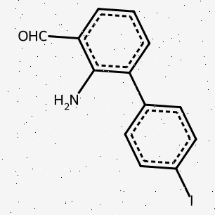 Nc1c(C=O)cccc1-c1ccc(I)cc1